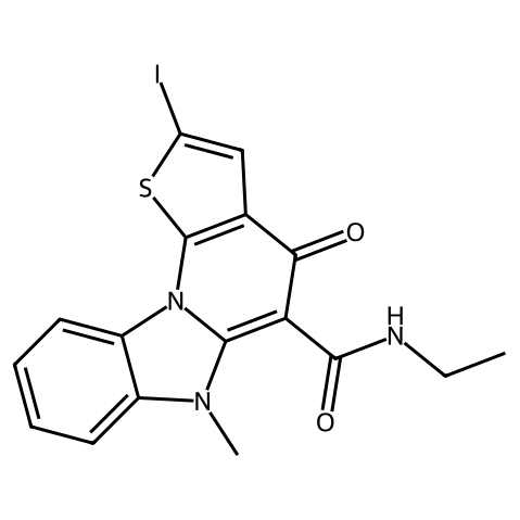 CCNC(=O)c1c(=O)c2cc(I)sc2n2c3ccccc3n(C)c12